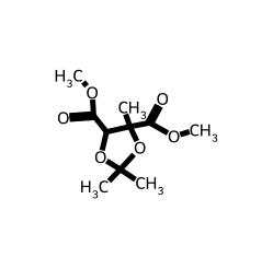 COC(=O)C1OC(C)(C)OC1(C)C(=O)OC